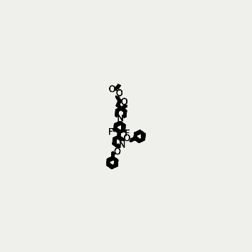 CC(=O)OCC1CC2(CCN(c3cc(F)c(-c4ccc(OCc5ccccc5)nc4OCc4ccccc4)c(F)c3)CC2)CO1